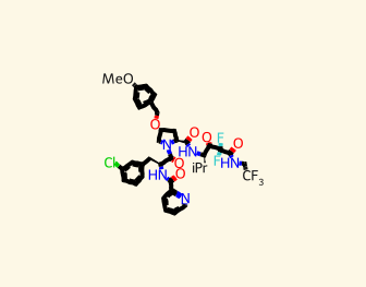 COc1ccc(CO[C@@H]2C[C@@H](C(=O)N[C@H](C(=O)C(F)(F)C(=O)NCC(F)(F)F)C(C)C)N(C(=O)[C@H](Cc3cccc(Cl)c3)NC(=O)c3ccccn3)C2)cc1